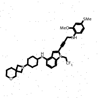 COc1cc(SC)ccc1NCC#Cc1cc2c(NC3CCC(N4CC5(CCCOC5)C4)CC3)cccc2n1CC(F)(F)F